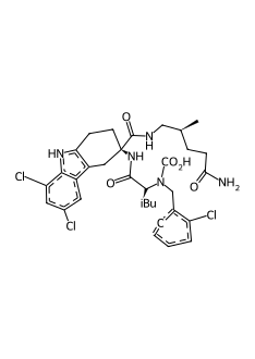 CC[C@H](C)C(C(=O)N[C@]1(C(=O)NC[C@@H](C)CCC(N)=O)CCc2[nH]c3c(Cl)cc(Cl)cc3c2C1)N(Cc1ccccc1Cl)C(=O)O